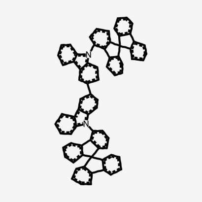 c1ccc2c(c1)-c1ccccc1C21c2ccccc2-c2c(-n3c4ccccc4c4cc(-c5ccc6c(c5)c5ccccc5n6-c5cccc6c5-c5ccccc5C65c6ccccc6-c6ccccc65)ccc43)cccc21